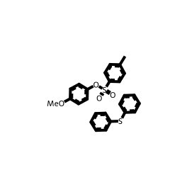 COc1ccc(OS(=O)(=O)c2ccc(C)cc2)cc1.c1ccc(Sc2ccccc2)cc1